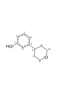 Oc1cccc(C2CCOCC2)c1